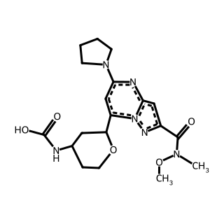 CON(C)C(=O)c1cc2nc(N3CCCC3)cc(C3CC(NC(=O)O)CCO3)n2n1